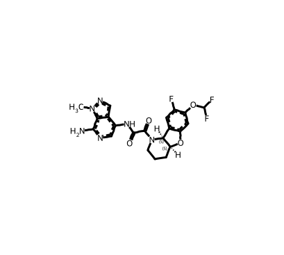 Cn1ncc2c(NC(=O)C(=O)N3CCC[C@@H]4Oc5cc(OC(F)F)c(F)cc5[C@@H]43)cnc(N)c21